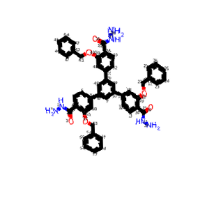 NNC(=O)c1ccc(-c2cc(-c3ccc(C(=O)NN)c(OCc4ccccc4)c3)cc(-c3ccc(C(=O)NN)c(OCc4ccccc4)c3)c2)cc1OCc1ccccc1